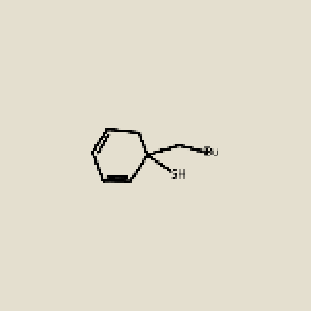 CCC(C)CC1(S)C=CC=CC1